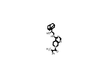 CC(C)C(C)C(=O)N1CCc2c(ncnc2NC[C@@H](O)C23CC4CC(CC(C4)C2)C3)C1